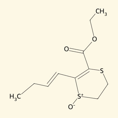 CCC=CC1=C(C(=O)OCC)SCC[S+]1[O-]